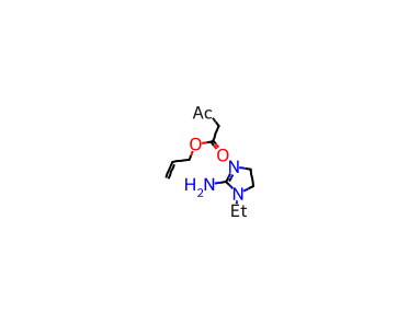 C=CCOC(=O)CC(C)=O.CCN1CCN=C1N